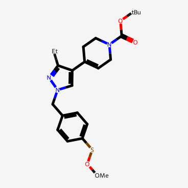 CCc1nn(Cc2ccc(SOOC)cc2)cc1C1=CCN(C(=O)OC(C)(C)C)CC1